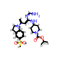 C=C(/C=C(\N=C/N)NC1CCN(C(=O)OC(C)C)CC1)N1CCc2cc(S(C)(=O)=O)ccc21